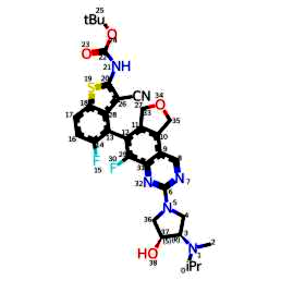 CC(C)N(C)[C@@H]1CN(c2ncc3c4c(c(-c5c(F)ccc6sc(NC(=O)OC(C)(C)C)c(C#N)c56)c(F)c3n2)COC4)C[C@@H]1O